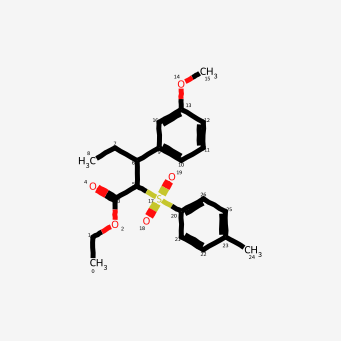 CCOC(=O)C(C(CC)c1cccc(OC)c1)S(=O)(=O)c1ccc(C)cc1